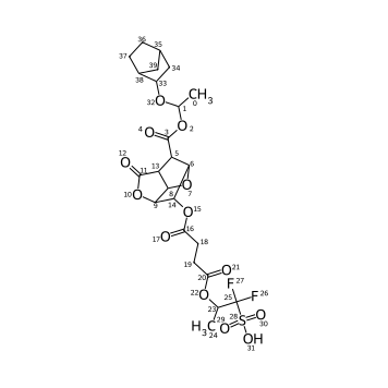 CC(OC(=O)C1C2OC3C(OC(=O)C31)C2OC(=O)CCC(=O)OC(C)C(F)(F)S(=O)(=O)O)OC1CC2CCC1C2